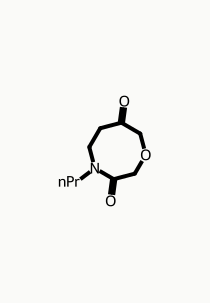 CCCN1CCC(=O)COCC1=O